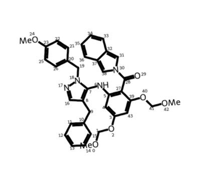 COCOc1cc(Nc2c(Cc3ccccc3)cnn2Cc2ccc(OC)cc2)c(C(=O)n2cc3ccccc3c2)c(OCOC)c1